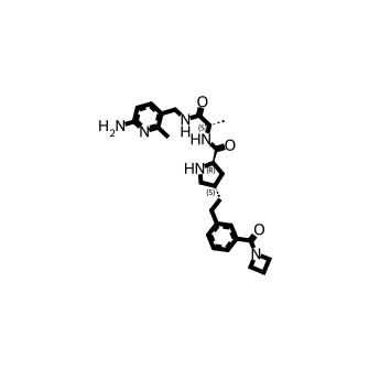 Cc1nc(N)ccc1CNC(=O)[C@H](C)NC(=O)[C@H]1C[C@H](CCc2cccc(C(=O)N3CCC3)c2)CN1